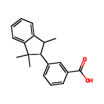 CC1c2ccccc2C(C)(C)C1c1cccc(C(=O)O)c1